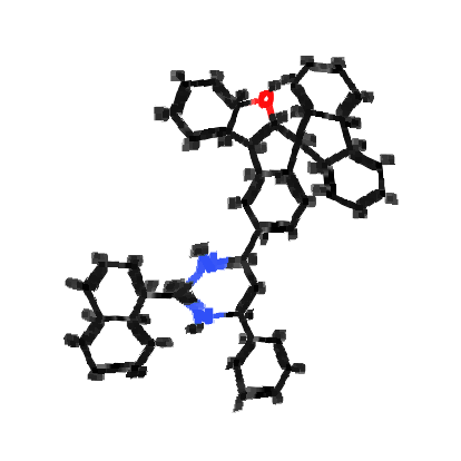 c1ccc(-c2cc(-c3ccc4c(c3)-c3c(oc5ccccc35)C43c4ccccc4-c4ccccc43)nc(-c3cccc4ccccc34)n2)cc1